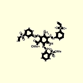 C=CS(=O)(=O)c1cccc(/N=N/C2=C(N)C(/N=N/c3cccc(S(=O)(=O)C=C)c3)=C(C(=O)OC)C(=N/Nc3ccccc3S(=O)(=O)OC)/C2=N)c1